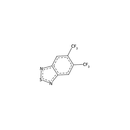 FC(F)(F)c1cc2nsnc2cc1C(F)(F)F